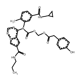 CCCNC(=O)c1cc2c(N(C(=O)OCOC(=O)Cc3ccc(O)cc3)c3cc(C(=O)NC4CC4)ccc3C)ncnn2c1